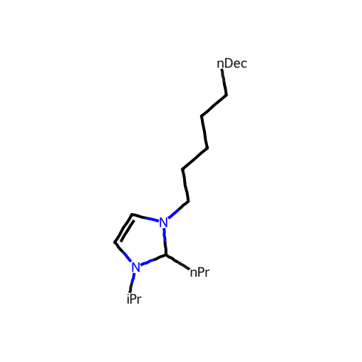 CCCCCCCCCCCCCCCN1C=CN(C(C)C)C1CCC